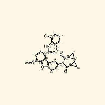 COc1ccc(C(=O)Nc2c(Cl)cncc2Cl)c2c1oc1ccc(N(C(=O)C3CC3)C(=O)C3CC3)cc12